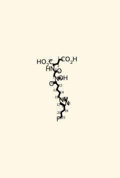 O=C(O)CCC(NC(=O)CN(O)C(=O)CCCCn1cc(CCCF)nn1)C(=O)O